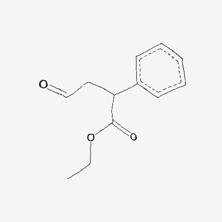 CCOC(=O)C(CC=O)c1ccccc1